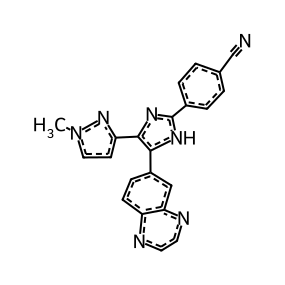 Cn1ccc(-c2nc(-c3ccc(C#N)cc3)[nH]c2-c2ccc3nccnc3c2)n1